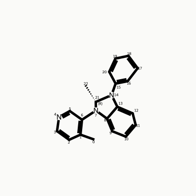 Cc1ccncc1N1c2ccccc2N(c2ccccc2)[C@H]1C